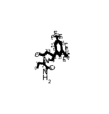 CCC(C(N)=O)N1CC(c2cc(C(F)(F)F)cc(C(F)(F)F)c2)CC1=O